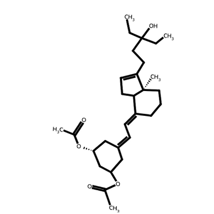 CCC(O)(CC)CCC1=CCC2/C(=C/C=C3/CC(OC(C)=O)C[C@H](OC(C)=O)C3)CCC[C@]12C